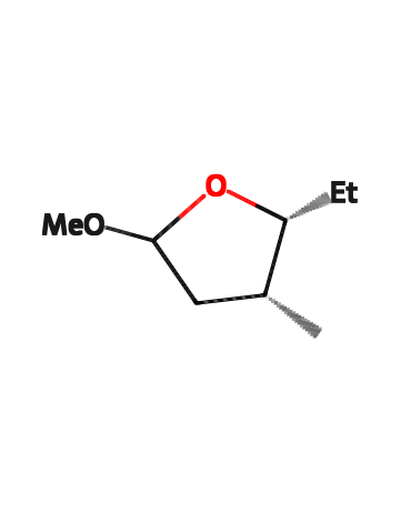 CC[C@H]1OC(OC)C[C@H]1C